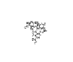 C=CC(=O)Nc1ccc(-n2nc3c(c2-c2oc4ccc(C)cc4c2C)C(N)=NNC3=C=O)cc1N(C)CCN(C)C